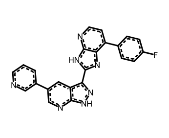 Fc1ccc(-c2ccnc3[nH]c(-c4n[nH]c5ncc(-c6cccnc6)cc45)nc23)cc1